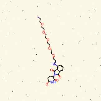 O=C1CCC(N2C(=O)c3cccc(NCCOCCOCCOCCOCCOCCI)c3C2=O)C(=O)N1